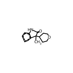 CC1(C2CCOCC2)C(=O)Nc2ccccc21